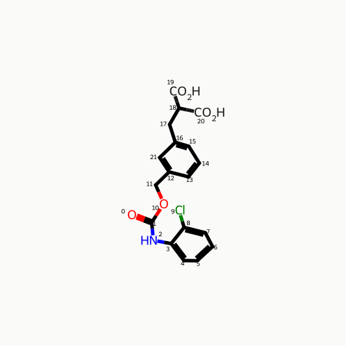 O=C(Nc1ccccc1Cl)OCc1cccc(CC(C(=O)O)C(=O)O)c1